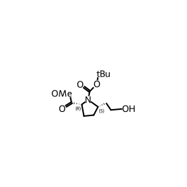 COC(=O)[C@H]1CC[C@@H](CCO)N1C(=O)OC(C)(C)C